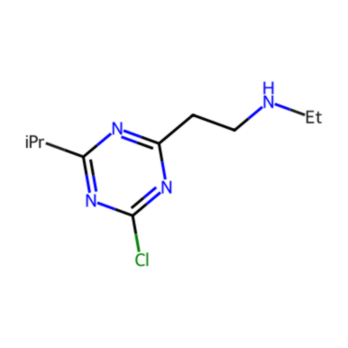 [CH2]CNCCc1nc(Cl)nc(C(C)C)n1